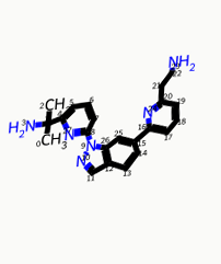 CC(C)(N)c1cccc(-n2ncc3ccc(-c4cccc(CCN)n4)cc32)n1